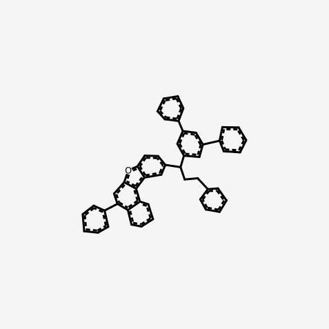 c1ccc(CCC(c2cc(-c3ccccc3)cc(-c3ccccc3)c2)c2ccc3oc4cc(-c5ccccc5)c5ccccc5c4c3c2)cc1